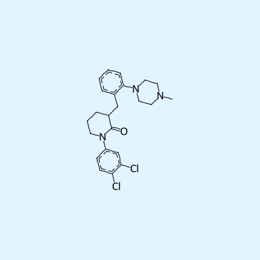 CN1CCN(c2ccccc2CC2CCCN(c3ccc(Cl)c(Cl)c3)C2=O)CC1